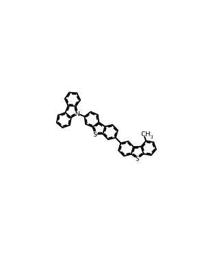 Cc1cccc2sc3ccc(-c4ccc5c(c4)sc4cc(-n6c7ccccc7c7ccccc76)ccc45)cc3c12